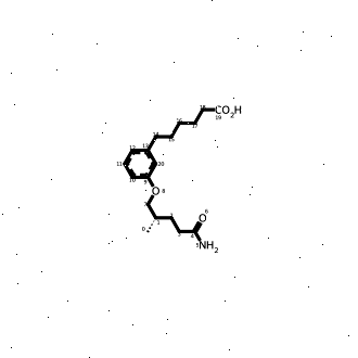 C[C@@H](CCC(N)=O)COc1cccc(CCCCCC(=O)O)c1